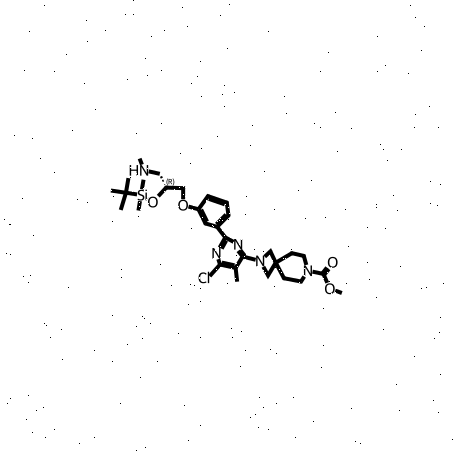 CNC[C@H](COc1cccc(-c2nc(Cl)c(C)c(N3CC4(CCN(C(=O)OC)CC4)C3)n2)c1)O[Si](C)(C)C(C)(C)C